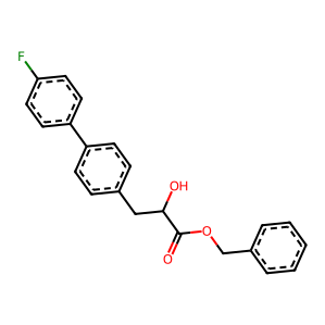 O=C(OCc1ccccc1)C(O)Cc1ccc(-c2ccc(F)cc2)cc1